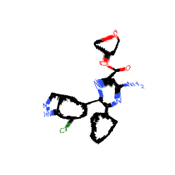 Nc1nc(-c2ccccc2)c(-c2cc(Cl)c3[nH]ncc3c2)nc1C(=O)OC1COC1